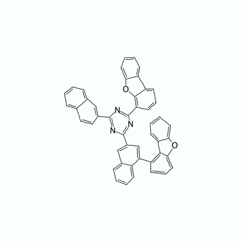 c1ccc2cc(-c3nc(-c4cc(-c5cccc6oc7ccccc7c56)c5ccccc5c4)nc(-c4cccc5c4oc4ccccc45)n3)ccc2c1